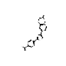 NC(=O)c1ccc(-c2nc(-c3ccc4c(c3)CCC(=O)N4)cs2)cc1